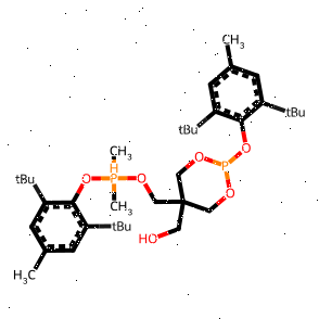 Cc1cc(C(C)(C)C)c(OP2OCC(CO)(CO[PH](C)(C)Oc3c(C(C)(C)C)cc(C)cc3C(C)(C)C)CO2)c(C(C)(C)C)c1